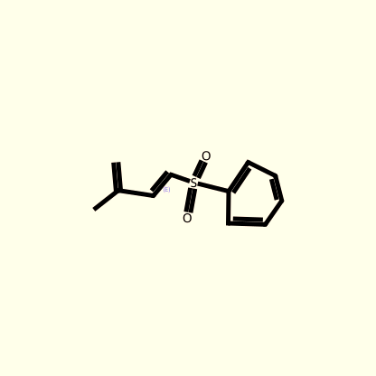 C=C(C)/C=C/S(=O)(=O)c1ccccc1